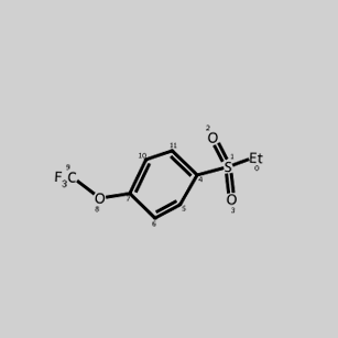 CCS(=O)(=O)c1ccc(OC(F)(F)F)cc1